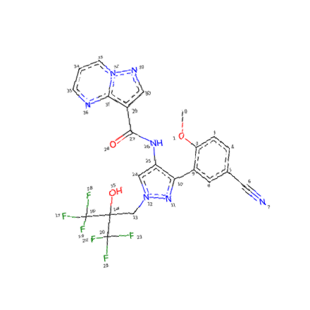 COc1ccc(C#N)cc1-c1nn(CC(O)(C(F)(F)F)C(F)(F)F)cc1NC(=O)c1cnn2cccnc12